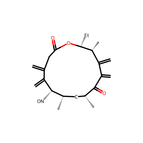 C=C1CC(=O)O[C@H](CC)[C@H](C)C(=C)C(=C)C(=O)[C@H](C)C[C@H](C)[C@H](N=O)C1=C